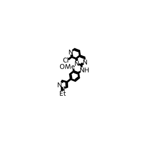 CCn1cc(-c2ccc(Nc3ncc4ccnc(Cl)c4n3)c(OC)c2)cn1